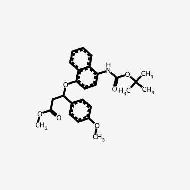 COC(=O)CC(Oc1ccc(NC(=O)OC(C)(C)C)c2ccccc12)c1ccc(OC)cc1